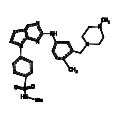 Cc1ccc(Nc2ncc3ccn(-c4ccc(S(=O)(=O)NC(C)(C)C)cc4)c3n2)cc1CN1CCN(C)CC1